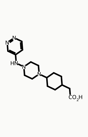 O=C(O)CC1CCC(N2CCN(Nc3ccnnc3)CC2)CC1